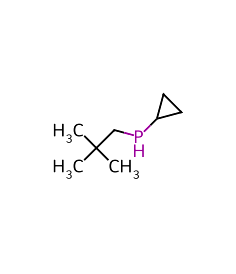 CC(C)(C)CPC1CC1